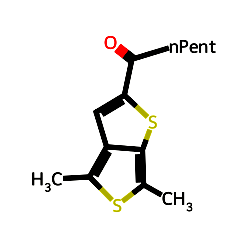 CCCCCC(=O)c1cc2c(C)sc(C)c2s1